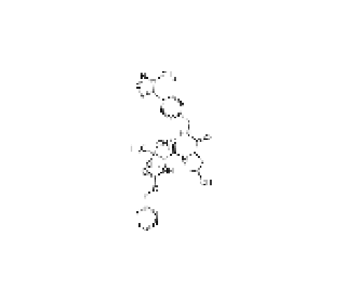 Cc1ncsc1-c1ccc(CNC(=O)[C@@H]2C[C@@H](O)CN2C(=O)[C@@H](NC(=O)OCc2ccccc2)C(C)(C)C)cc1